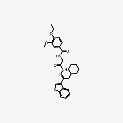 CCOc1ccc(C(=O)NCC(=O)N/N=C(\CC2CCCCC2)c2csc3ccccc23)cc1OC